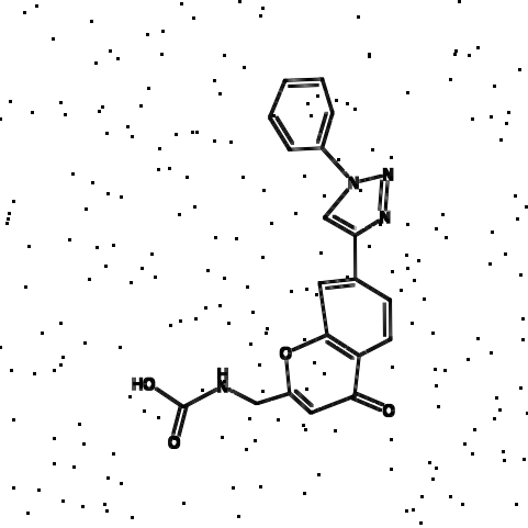 O=C(O)NCc1cc(=O)c2ccc(-c3cn(-c4ccccc4)nn3)cc2o1